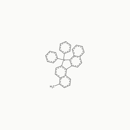 Cc1cccc2c3c(ccc12)[Si](c1ccccc1)(c1ccccc1)c1c-3ccc2ccccc12